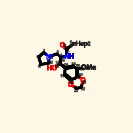 CCCCCCCC(=O)N[C@H](CN1CCCC1)[C@H](O)c1cc(OC)c2c(c1)OCCO2